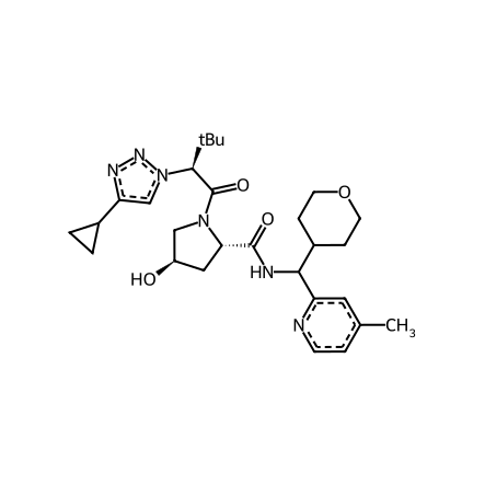 Cc1ccnc(C(NC(=O)[C@@H]2C[C@@H](O)CN2C(=O)[C@@H](n2cc(C3CC3)nn2)C(C)(C)C)C2CCOCC2)c1